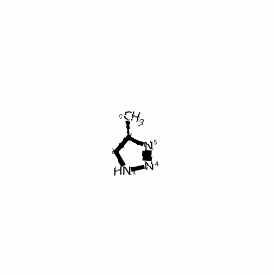 C[C@@H]1CNN=N1